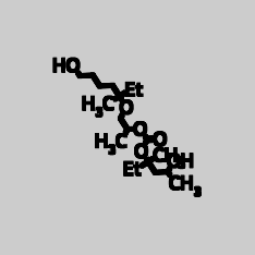 CCC(C)(CCCCO)OCC(C)OC(=O)OC(C)(CC)CC(C)O